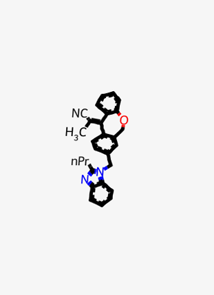 CCCc1nc2ccccc2n1Cc1ccc2c(c1)COc1ccccc1C2=C(C)C#N